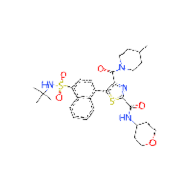 CC1CCN(C(=O)c2nc(C(=O)NC3CCOCC3)sc2-c2ccc(S(=O)(=O)NC(C)(C)C)c3ccccc23)CC1